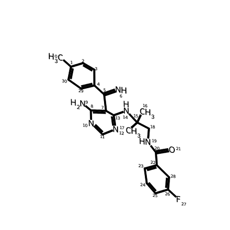 Cc1ccc(C(=N)c2c(N)ncnc2NC(C)(C)CNC(=O)c2cccc(F)c2)cc1